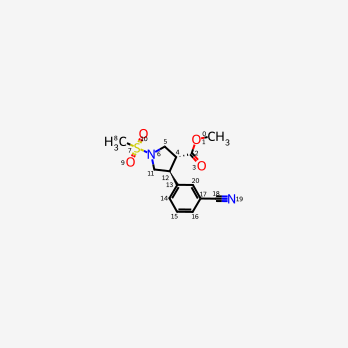 COC(=O)[C@H]1CN(S(C)(=O)=O)C[C@@H]1c1cccc(C#N)c1